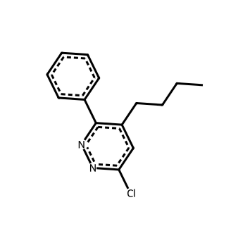 CCCCc1cc(Cl)nnc1-c1ccccc1